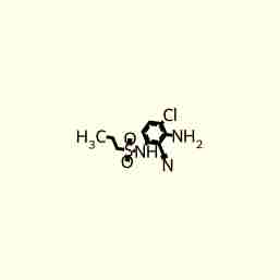 CCCS(=O)(=O)Nc1ccc(Cl)c(N)c1C#N